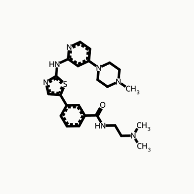 CN(C)CCNC(=O)c1cccc(-c2cnc(Nc3cc(N4CCN(C)CC4)ccn3)s2)c1